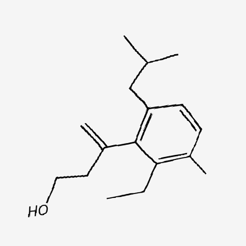 C=C(CCO)c1c(CC(C)C)ccc(C)c1CC